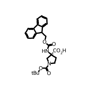 CC(C)(C)OC(=O)N1CC[C@@](NC(=O)OCC2c3ccccc3-c3ccccc32)(C(=O)O)C1